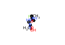 Cc1ccc(F)c2c1NC(C(=O)N[C@@H]1CCC[C@H](N3CC[C@@H](N(C)C(=O)CO)C3)C1)(C1CCCC1)C2